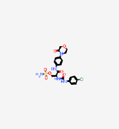 NS(=O)(=O)OCC(NC(=O)Nc1ccc(Cl)cc1)C(=O)Nc1ccc(N2CCOCC2=O)cc1